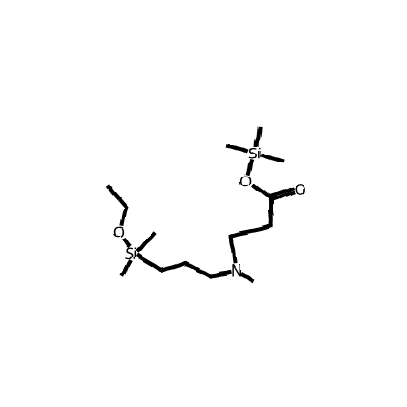 CCO[Si](C)(C)CCCN(C)CCC(=O)O[Si](C)(C)C